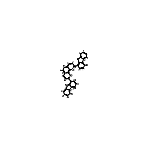 c1ccc2c(c1)sc1c(-c3ccc4ccc5ccc(-c6cccc7c6sc6ccccc67)nc5c4n3)cccc12